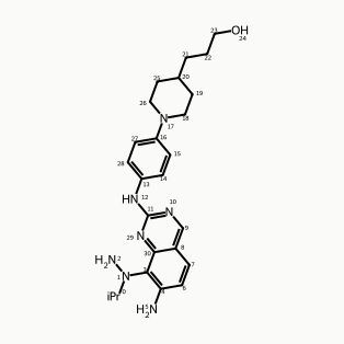 CC(C)N(N)c1c(N)ccc2cnc(Nc3ccc(N4CCC(CCCO)CC4)cc3)nc12